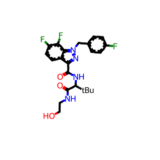 CC(C)(C)C(NC(=O)c1nn(Cc2ccc(F)cc2)c2c(F)c(F)ccc12)C(=O)NCCO